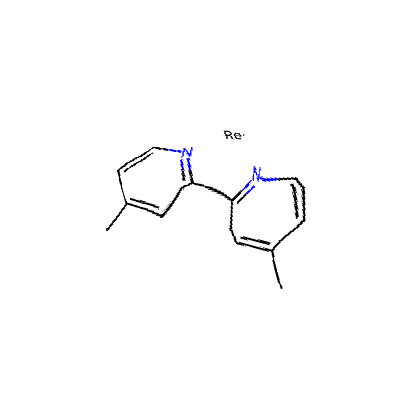 Cc1ccnc(-c2cc(C)ccn2)c1.[Re]